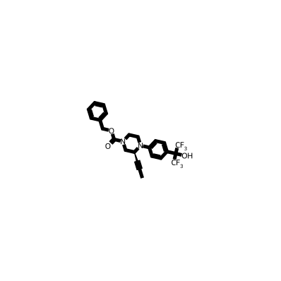 CC#C[C@H]1CN(C(=O)OCc2ccccc2)CCN1c1ccc(C(O)(C(F)(F)F)C(F)(F)F)cc1